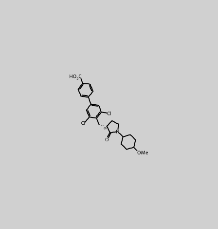 COC1CCC(N2CC[C@@H](Cc3c(Cl)cc(-c4ccc(C(=O)O)cc4)cc3Cl)C2=O)CC1